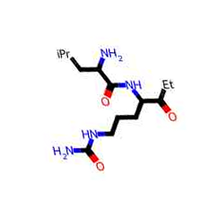 CCC(=O)C(CCCNC(N)=O)NC(=O)C(N)CC(C)C